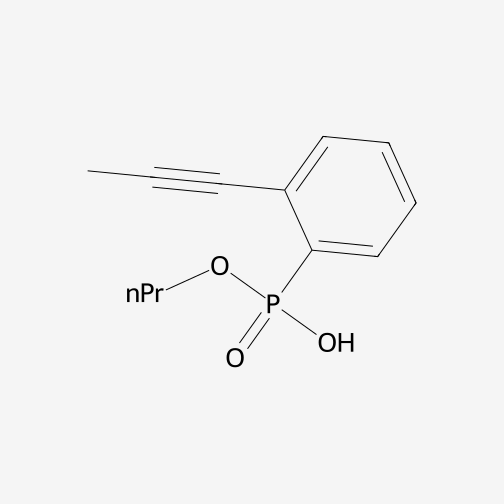 CC#Cc1ccccc1P(=O)(O)OCCC